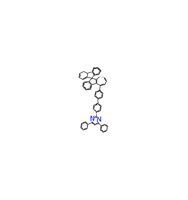 c1ccc2c(c#1)C1CC=CC=C1C21C2=C(C(c3ccc(-c4ccc(-c5nc(-c6ccccc6)cc(-c6ccccc6)n5)cc4)cc3)=CC=CC2)c2ccccc21